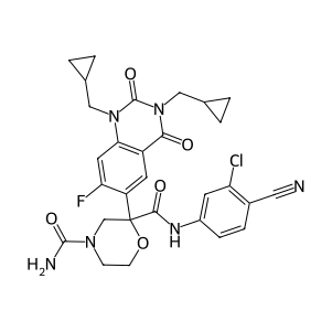 N#Cc1ccc(NC(=O)C2(c3cc4c(=O)n(CC5CC5)c(=O)n(CC5CC5)c4cc3F)CN(C(N)=O)CCO2)cc1Cl